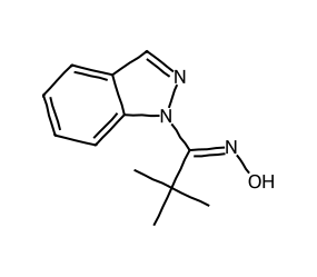 CC(C)(C)/C(=N\O)n1ncc2ccccc21